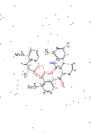 COc1ccccc1/C(C)=C(/S)C(=O)OC(=O)c1c(OC)cccc1OC(=O)C1CCCCC1C(=O)Nc1ccc(Cl)cc1Cl